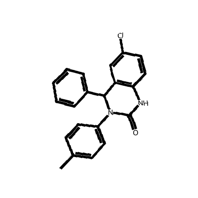 Cc1ccc(N2C(=O)Nc3ccc(Cl)cc3C2c2ccccc2)cc1